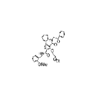 CCOCCOc1c(C(=O)NCc2ccccc2OC)sc2c1c(=O)n(CC(=O)c1ccccc1)c1ccccc21